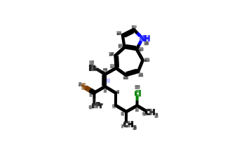 CCCC(=S)/C(CCC(C)C(C)Cl)=C(\CC)C1=Cc2cc[nH]c2CC=C1